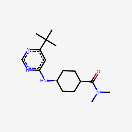 CN(C)C(=O)[C@H]1CC[C@@H](Nc2cc(C(C)(C)C)ncn2)CC1